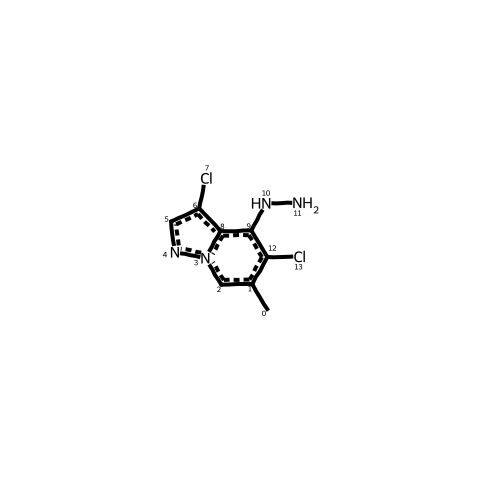 Cc1cn2ncc(Cl)c2c(NN)c1Cl